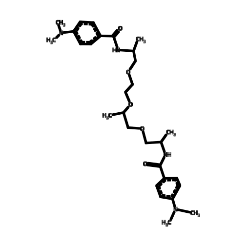 CC(COCCOC(C)COCC(C)NC(=O)c1ccc(N(C)C)cc1)NC(=O)c1ccc(N(C)C)cc1